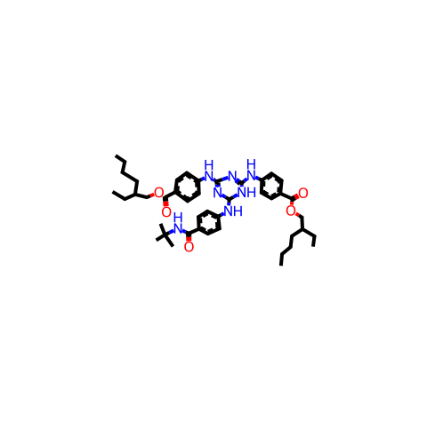 CCCCC(CC)COC(=O)c1ccc(NC2=NC(Nc3ccc(C(=O)NC(C)(C)C)cc3)NC(Nc3ccc(C(=O)OCC(CC)CCCC)cc3)=N2)cc1